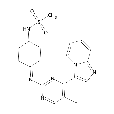 CS(=O)(=O)NC1CCC(=Nc2ncc(F)c(-c3cnc4ccccn34)n2)CC1